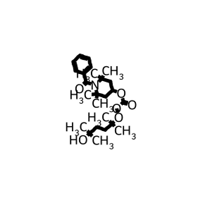 CC(C)(O)CCC(C)(C)OOC(=O)OC1CC(C)(C)N(C(=O)c2ccccc2)C(C)(C)C1